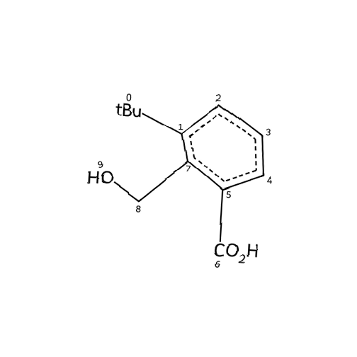 CC(C)(C)c1cccc(C(=O)O)c1CO